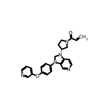 C=CC(=O)N1CC[C@@H](N2CN(c3ccc(Oc4cccnc4)cc3)c3cnccc32)C1